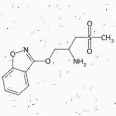 CS(=O)(=O)CC(N)COc1noc2ccccc12